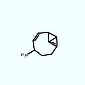 NC1/C=C\C2C3=C(CC1)C32